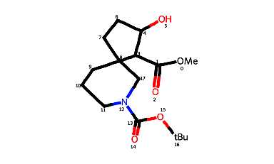 COC(=O)C1C(O)CCC12CCCN(C(=O)OC(C)(C)C)C2